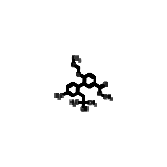 COCOc1ccc(C(=O)OC)cc1-c1ccc(C)cc1CC(C)(C)O